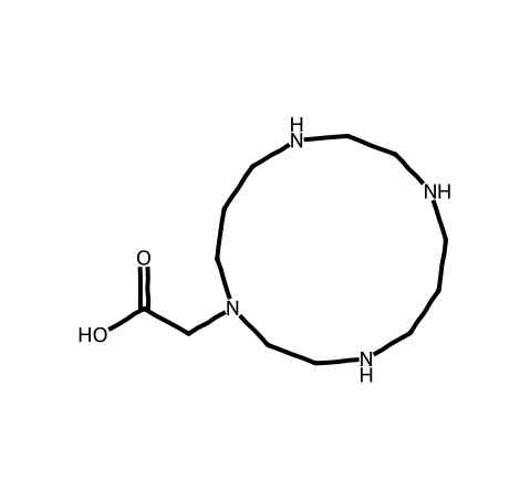 O=C(O)CN1CCCNCCNCCCNCC1